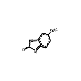 CC(=O)Oc1ccc2c(c1)=CC(=O)N=2